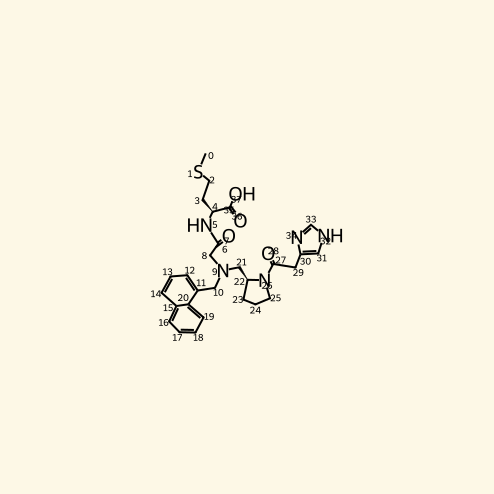 CSCC[C@H](NC(=O)CN(Cc1cccc2ccccc12)C[C@@H]1CCCN1C(=O)Cc1c[nH]cn1)C(=O)O